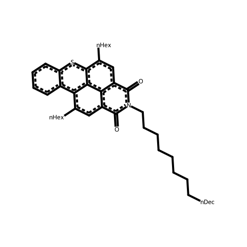 CCCCCCCCCCCCCCCCCCn1c(=O)c2cc(CCCCCC)c3sc4ccccc4c4c(CCCCCC)cc(c1=O)c2c34